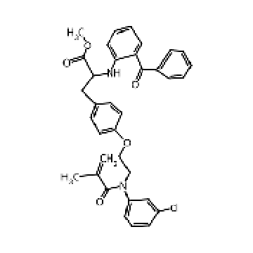 C=C(C)C(=O)N(CCOc1ccc(CC(Nc2ccccc2C(=O)c2ccccc2)C(=O)OC)cc1)c1cccc(Cl)c1